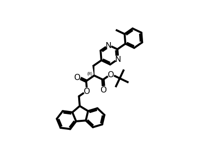 Cc1ccccc1-c1ncc(C[C@H](C(=O)OCC2c3ccccc3-c3ccccc32)C(=O)OC(C)(C)C)cn1